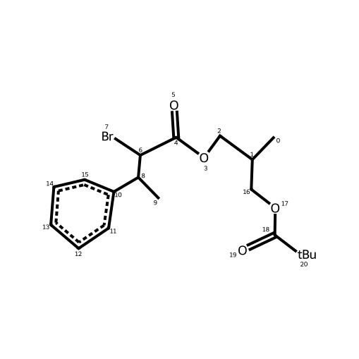 CC(COC(=O)C(Br)C(C)c1ccccc1)COC(=O)C(C)(C)C